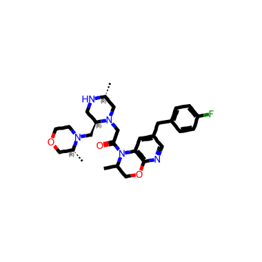 CC1COc2ncc(Cc3ccc(F)cc3)cc2N1C(=O)CN1C[C@@H](C)NC[C@@H]1CN1CCOC[C@H]1C